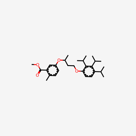 COC(=O)c1cc(OC(C)CCOc2ccc(C(C)C)c(C(C)C)c2C(C)C)ccc1C